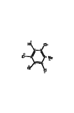 Sc1c(Cl)cc(Cl)c(Cl)c1Cl.[Na]